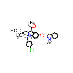 CC(=O)N1c2ccccc2C[C@H]1COc1ccc2c(c1)c(C(=O)CC(C)(C)C)c(CC(C)(C)C(=O)O)n2Cc1ccc(Cl)cc1